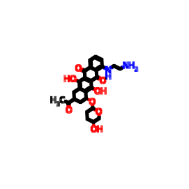 CC(=O)C1Cc2c(O)c3c(c(O)c2[C@@H](OC2CC[C@H](O)CO2)C1)C(=O)c1c(NCCN)cccc1C3=O